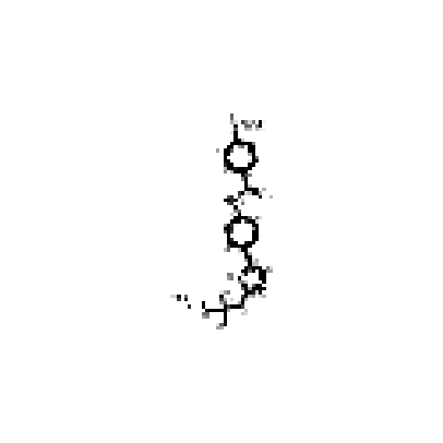 CCCCCc1ccc(C(=O)Nc2ccc(-c3cnc(CC(C)(C)CC(=O)O)s3)cc2)cc1